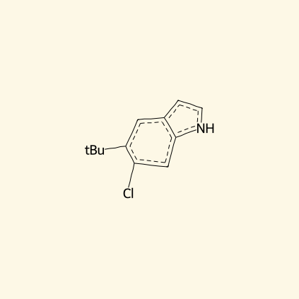 CC(C)(C)c1cc2cc[nH]c2cc1Cl